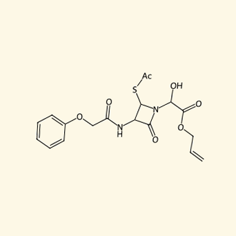 C=CCOC(=O)C(O)N1C(=O)C(NC(=O)COc2ccccc2)C1SC(C)=O